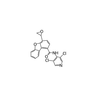 O=C(Nc1c(Cl)cncc1Cl)c1ccc(C2CO2)c2oc3ccccc3c12